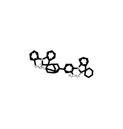 Cc1cc(C23CC4CC(C2)C2(c5ccccc5N(c5ccccc5C)[C@H]2C)C(C4)C3)ccc1N1c2ccccc2C2(CCCCC2)[C@@H]1C